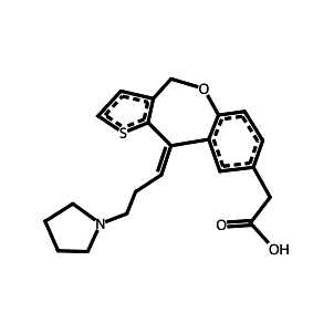 O=C(O)Cc1ccc2c(c1)/C(=C/CCN1CCCC1)c1sccc1CO2